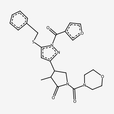 CC1C(=O)N(C(=O)N2CCOCC2)CC1c1cc(SCc2ccccc2)n(C(=O)c2ccoc2)n1